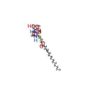 CCCCCCCCCCCCCCCC(=O)OCCSCC(NC(C)=O)C(=O)NC(CO)C(=O)OC